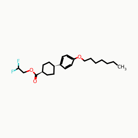 CCCCCCCOc1ccc([C@H]2CC[C@H](C(=O)OCC(F)F)CC2)cc1